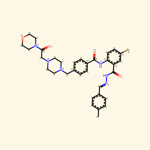 Cc1ccc(C=NNC(=O)c2cc(Br)ccc2NC(=O)c2ccc(CN3CCN(CC(=O)N4CCOCC4)CC3)cc2)cc1